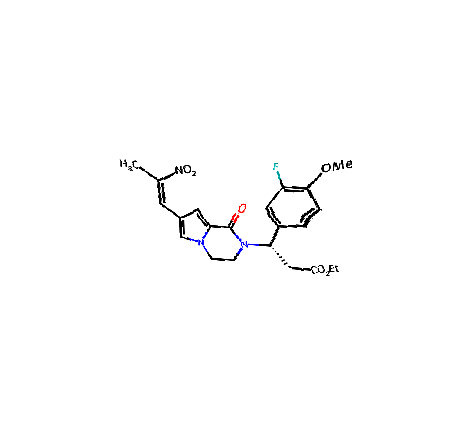 CCOC(=O)C[C@@H](c1ccc(OC)c(F)c1)N1CCn2cc(/C=C(/C)[N+](=O)[O-])cc2C1=O